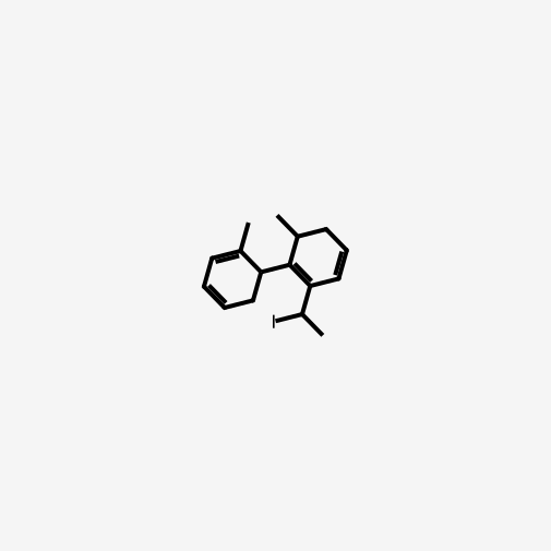 CC1=CC=CCC1C1=C(C(C)I)C=CCC1C